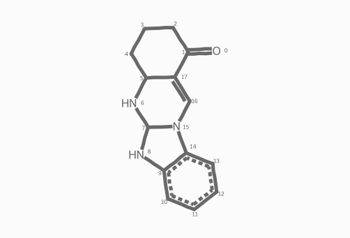 O=C1CCCC2NC3Nc4ccccc4N3C=C12